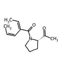 C/C=C\C(=C/C)C(=O)N1CCC[C@H]1C(C)=O